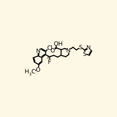 COc1ccc2ncc(Cl)c([C@H](F)CCC3CCN(CCSc4nccs4)CC3C(=O)O)c2c1